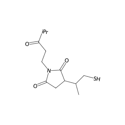 CC(C)C(=O)CCN1C(=O)CC(C(C)CS)C1=O